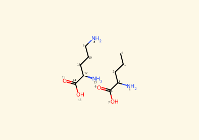 CCCC(N)C(=O)O.NCCC[C@@H](N)C(=O)O